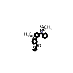 CCn1c2ccc(C(=O)c3cccs3)cc2c2cc(/C(=N/OC(C)=O)C3CCCCC3)ccc21